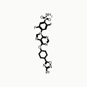 CC(C)c1noc(C2CCC(Oc3ncnc4c3ncn4-c3cc(F)c(S(N)(=O)=O)cc3F)CC2)n1